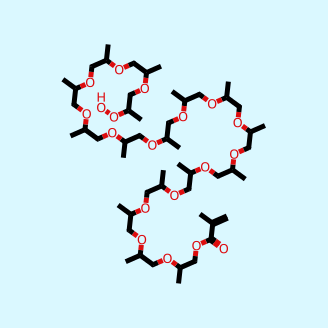 C=C(C)C(=O)OCC(C)OCC(C)OCC(C)OCC(C)OCC(C)OCC(C)OCC(C)OCC(C)OCC(C)OCC(C)OCC(C)OCC(C)OCC(C)OCC(C)OCC(C)OCC(C)OO